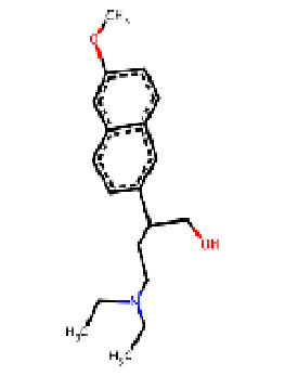 CCN(CC)CCC(CO)c1ccc2cc(OC)ccc2c1